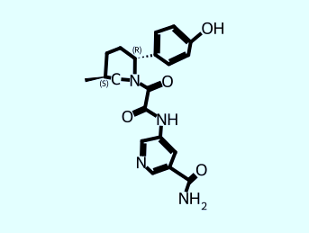 C[C@H]1CC[C@H](c2ccc(O)cc2)N(C(=O)C(=O)Nc2cncc(C(N)=O)c2)C1